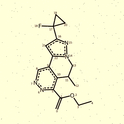 C=C(OCC)c1nncc2c1C(C)Cn1nc(C3(F)CC3)cc1-2